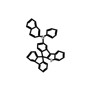 c1ccc(N(c2ccc3c(c2)-c2c(sc4ccccc24)C32c3ccccc3-c3ccccc32)c2ccc3ccccc3c2)cc1